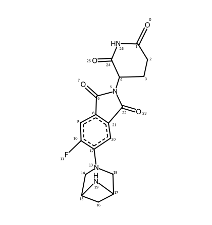 O=C1CCC(N2C(=O)c3cc(F)c(N4CC5CC(C4)N5)cc3C2=O)C(=O)N1